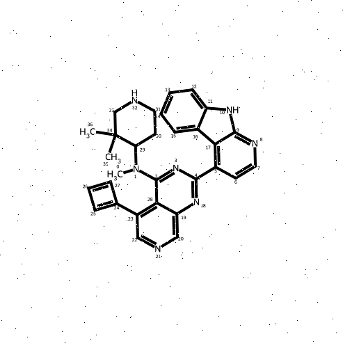 CN(c1nc(-c2ccnc3[nH]c4ccccc4c23)nc2cncc(C3=CC=C3)c12)C1CCNCC1(C)C